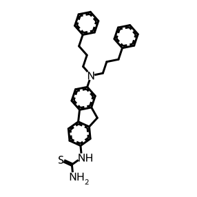 NC(=S)Nc1ccc2c(c1)Cc1cc(N(CCCc3ccccc3)CCCc3ccccc3)ccc1-2